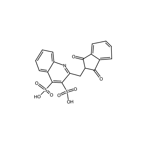 O=C1c2ccccc2C(=O)C1Cc1nc2ccccc2c(S(=O)(=O)O)c1S(=O)(=O)O